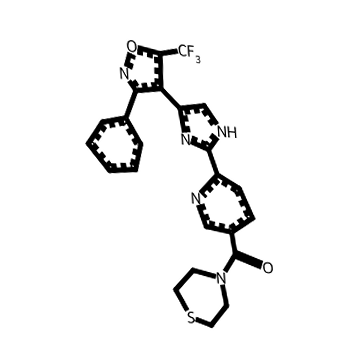 O=C(c1ccc(-c2nc(-c3c(-c4ccccc4)noc3C(F)(F)F)c[nH]2)nc1)N1CCSCC1